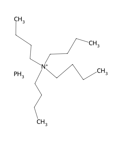 CCCC[N+](CCCC)(CCCC)CCCC.P